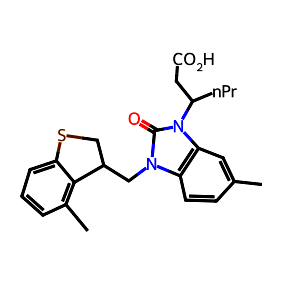 CCCC(CC(=O)O)n1c(=O)n(CC2CSc3cccc(C)c32)c2ccc(C)cc21